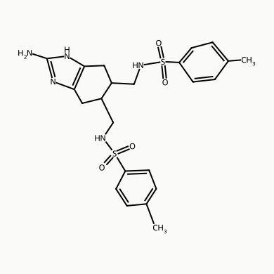 Cc1ccc(S(=O)(=O)NCC2Cc3nc(N)[nH]c3CC2CNS(=O)(=O)c2ccc(C)cc2)cc1